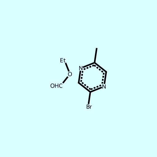 CCOC=O.Cc1cnc(Br)cn1